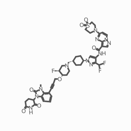 Cn1c(=O)n(C2CCC(=O)NC2=O)c2cccc(C#CCO[C@H]3CCN(C[C@H]4CC[C@H](n5cc(NC(=O)c6cnn7ccc(N8CCS(=O)(=O)CC8)nc67)c(C(F)F)n5)CC4)C[C@@H]3F)c21